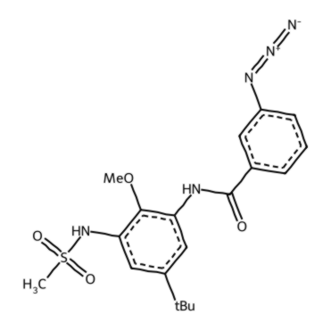 COc1c(NC(=O)c2cccc(N=[N+]=[N-])c2)cc(C(C)(C)C)cc1NS(C)(=O)=O